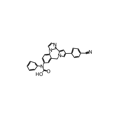 N#Cc1ccc(-c2cc3n(c2)Cc2cc(N(C(=O)O)c4ccccc4)ccc2-n2ccnc2-3)cc1